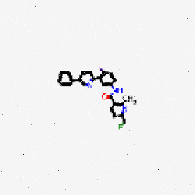 Cc1nc(CF)ccc1C(=O)Nc1ccc(I)c(-c2ccc(-c3ccccc3)cn2)c1